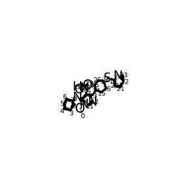 COc1ccccc1Nc1ncnc(C2CCC(Sc3ccccn3)CC2)c1[N+](=O)[O-]